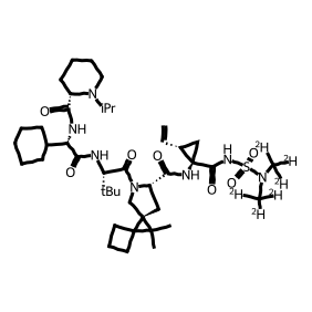 [2H]C([2H])([2H])N(C([2H])([2H])[2H])S(=O)(=O)NC(=O)[C@@]1(NC(=O)[C@@H]2C[C@@]3(CN2C(=O)[C@@H](NC(=O)[C@@H](NC(=O)[C@@H]2CCCCN2C(C)C)C2CCCCC2)C(C)(C)C)C(C)(C)C32CCC2)C[C@H]1C=C